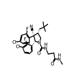 CNC(=O)CCNC(=O)N1C[C@@H](CC(C)(C)C)[C@](C#N)(c2ccc(Cl)cc2F)[C@H]1c1cccc(Cl)c1F